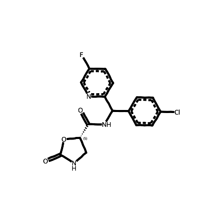 O=C1NC[C@@H](C(=O)NC(c2ccc(Cl)cc2)c2ccc(F)cn2)O1